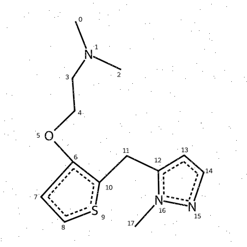 CN(C)CCOc1ccsc1Cc1ccnn1C